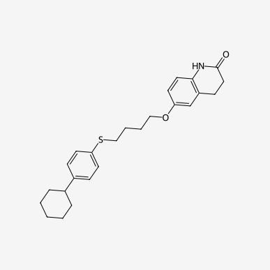 O=C1CCc2cc(OCCCCSc3ccc(C4CCCCC4)cc3)ccc2N1